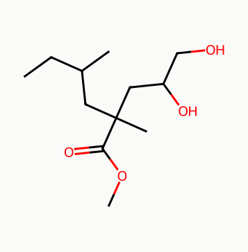 CCC(C)CC(C)(CC(O)CO)C(=O)OC